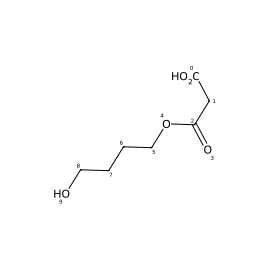 O=C(O)CC(=O)OCCCCO